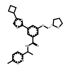 Cc1ccc(C(C)NC(=O)c2cc(OC[C@@H]3CCCO3)cc(-c3ncc(C4CCC4)s3)c2)nn1